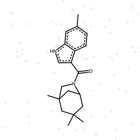 Cc1ccc2c(C(=O)N3CC4(C)CC3CC(C)(C)C4)c[nH]c2c1